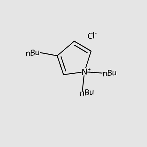 CCCCC1=C[N+](CCCC)(CCCC)C=C1.[Cl-]